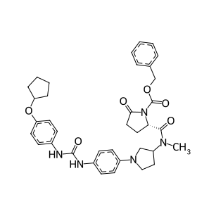 CN(C(=O)[C@@H]1CCC(=O)N1C(=O)OCc1ccccc1)C1CCN(c2ccc(NC(=O)Nc3ccc(OC4CCCC4)cc3)cc2)C1